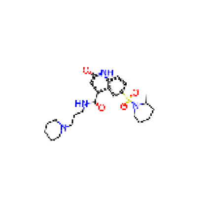 CC1CCCCN1S(=O)(=O)c1ccc2[nH]c(=O)cc(C(=O)NCCCN3CCCCC3)c2c1